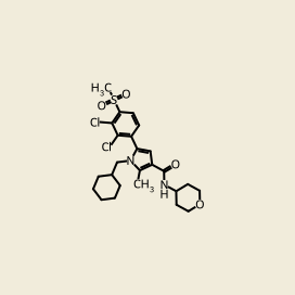 Cc1c(C(=O)NC2CCOCC2)cc(-c2ccc(S(C)(=O)=O)c(Cl)c2Cl)n1CC1CCCCC1